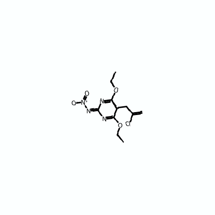 C=C(Cl)CC1C(OCC)=NC(=N[N+](=O)[O-])N=C1OCC